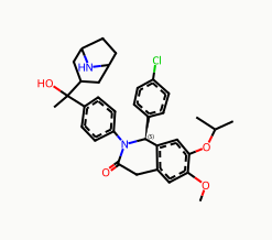 COc1cc2c(cc1OC(C)C)[C@H](c1ccc(Cl)cc1)N(c1ccc(C(C)(O)C3CC4CCC(C3)N4)cc1)C(=O)C2